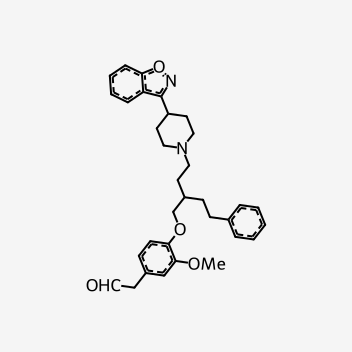 COc1cc(CC=O)ccc1OCC(CCc1ccccc1)CCN1CCC(c2noc3ccccc23)CC1